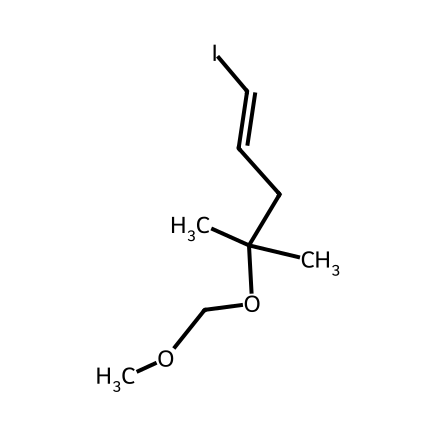 COCOC(C)(C)C/C=C/I